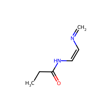 C=N/C=C\NC(=O)CC